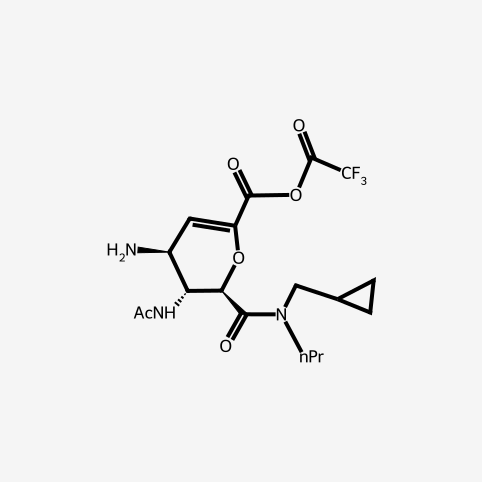 CCCN(CC1CC1)C(=O)[C@@H]1OC(C(=O)OC(=O)C(F)(F)F)=C[C@H](N)[C@H]1NC(C)=O